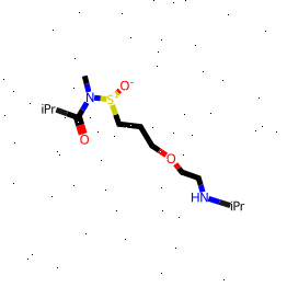 CC(C)NCCOCCC[S+]([O-])N(C)C(=O)C(C)C